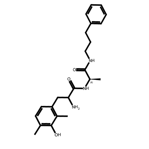 Cc1ccc(CC(N)C(=O)N[C@H](C)C(=O)NCCCc2ccccc2)c(C)c1O